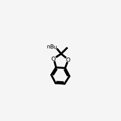 CCCCC1(C)Oc2ccccc2O1